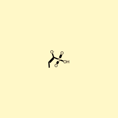 CC=C([O])S(=O)(=O)O